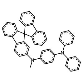 CN(c1ccc(N(c2ccccc2)c2ccccc2)cc1)c1ccc2c(c1)C1(c3ccccc3-c3ccccc31)c1ccccc1-2